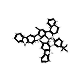 Cc1cc2c3c4c1c1cc5c(cc1n4-c1cc4c(cc1B3N(c1ccc(C(C)(C)C)cc1)c1ccc3ccccc3c1-2)oc1ccccc14)oc1ccccc15